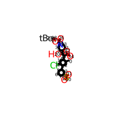 Cc1cc(-c2cccc(S(C)(=O)=O)c2)c(Cl)cc1C1=C(O)C2(CCN(C(=O)OCC(C)(C)C)CC2)OC1=O